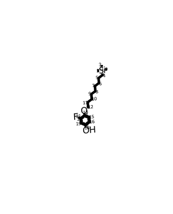 C[Si](C)(C)CCCCCCCCCOc1ccc(O)cc1F